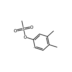 Cc1c[c]c(OS(C)(=O)=O)cc1C